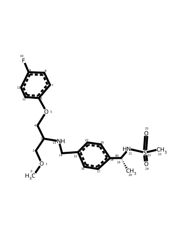 COCC(COc1ccc(F)cc1)NCc1ccc([C@@H](C)NS(C)(=O)=O)cc1